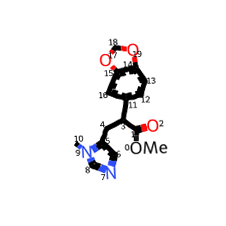 COC(=O)C(Cc1cncn1C)c1ccc2c(c1)OCO2